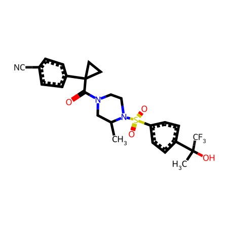 CC1CN(C(=O)C2(c3ccc(C#N)cc3)CC2)CCN1S(=O)(=O)c1ccc(C(C)(O)C(F)(F)F)cc1